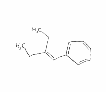 CCC(=Cc1ccccc1)CC